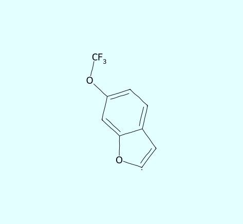 FC(F)(F)Oc1ccc2c[c]oc2c1